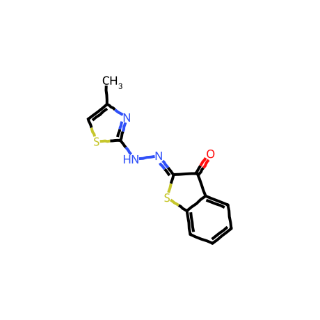 Cc1csc(NN=C2Sc3ccccc3C2=O)n1